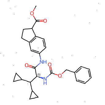 COC(=O)C1CCc2cc(NC(=O)[C@@H](NC(=O)OCc3ccccc3)C(C3CC3)C3CC3)ccc21